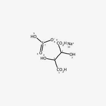 O=C(O)C(O)C(O)C(=O)O.O=S([O-])O.[Na+]